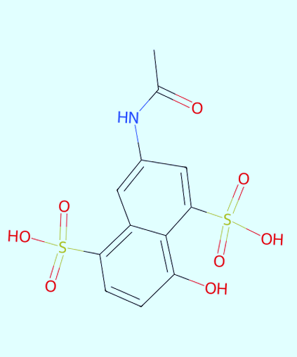 CC(=O)Nc1cc(S(=O)(=O)O)c2c(O)ccc(S(=O)(=O)O)c2c1